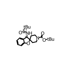 CC(C)(C)OC(=O)N1CCC2(CC1)Oc1ccccc1[C@H]2N[S@+]([O-])C(C)(C)C